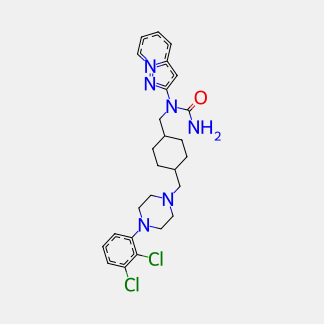 NC(=O)N(CC1CCC(CN2CCN(c3cccc(Cl)c3Cl)CC2)CC1)c1cc2ccccn2n1